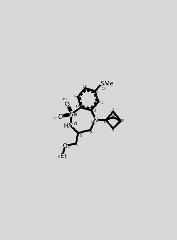 CCOCC1CN(C23CC(C2)C3)c2cc(SC)ccc2S(=O)(=O)N1